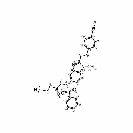 CCOC(=O)CN(c1ccc2c(c1)nc(CCc1ccc(C#N)cc1)n2C)S(=O)(=O)c1ccccc1